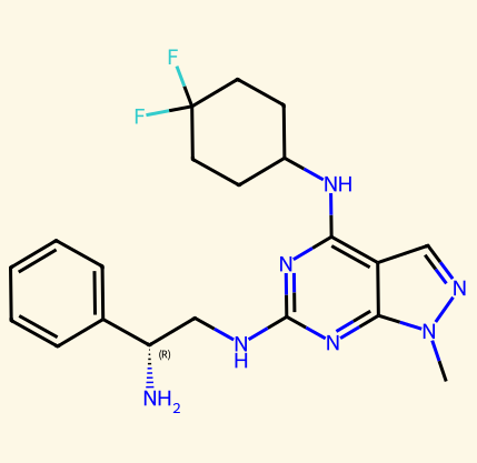 Cn1ncc2c(NC3CCC(F)(F)CC3)nc(NC[C@H](N)c3ccccc3)nc21